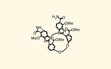 COC(=O)c1cc2ccc1-c1nc3c(OC)c(C(N)=O)ccc3n1CCn1c(nc3c(OC)c(C(N)=O)ccc31)-c1cc(ccc1C(=O)OC)OCCO2